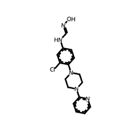 O/N=C/Nc1ccc(N2CCN(c3ccccn3)CC2)c(Cl)c1